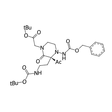 CC(=O)[C@@]1(CCNC(=O)OC(C)(C)C)C(=O)N(CC(=O)OC(C)(C)C)CCN1NC(=O)OCc1ccccc1